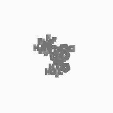 CCN(N)/C(=C(\N)COc1ccc(Cl)c2c1C(N1CCCC1=O)N(C(=O)[C@@H]1CCC[C@]1(C)C(=O)O)CC2)C(F)F